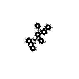 c1ccc(-n2c3ccc4c(c5ccccc5n4-c4nc5c6c(cccc6n4)Sc4ccccc4-5)c3c3ccc4c5ccccc5oc4c32)cc1